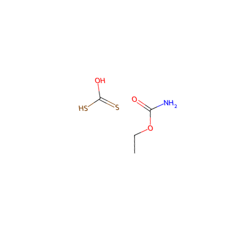 CCOC(N)=O.OC(=S)S